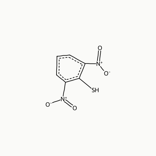 O=[N+]([O-])c1cccc([N+](=O)[O-])c1S